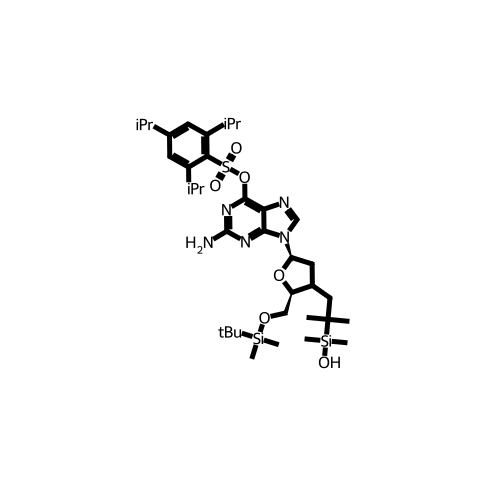 CC(C)c1cc(C(C)C)c(S(=O)(=O)Oc2nc(N)nc3c2ncn3[C@H]2CC(CC(C)(C)[Si](C)(C)O)[C@@H](CO[Si](C)(C)C(C)(C)C)O2)c(C(C)C)c1